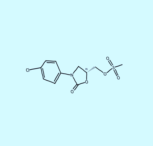 CS(=O)(=O)OC[C@H]1CN(c2ccc(Cl)cc2)C(=O)O1